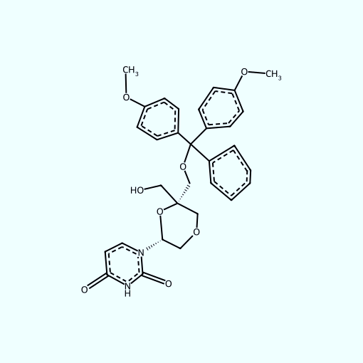 COc1ccc(C(OC[C@]2(CO)COC[C@H](n3ccc(=O)[nH]c3=O)O2)(c2ccccc2)c2ccc(OC)cc2)cc1